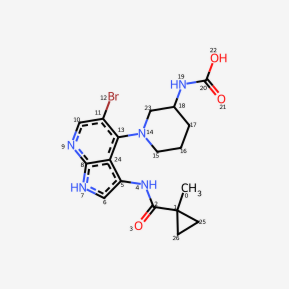 CC1(C(=O)Nc2c[nH]c3ncc(Br)c(N4CCCC(NC(=O)O)C4)c23)CC1